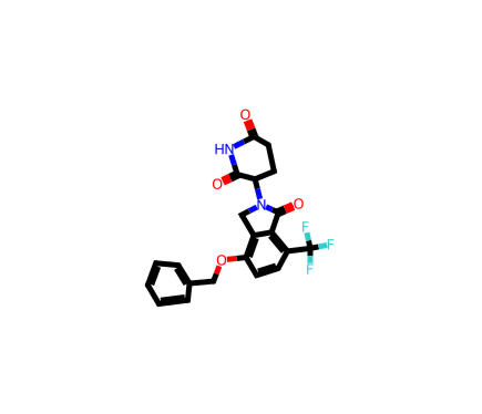 O=C1CCC(N2Cc3c(OCc4ccccc4)ccc(C(F)(F)F)c3C2=O)C(=O)N1